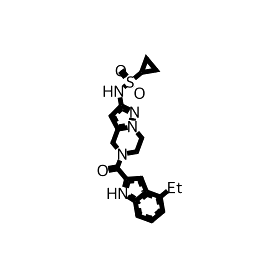 CCc1cccc2[nH]c(C(=O)N3CCn4nc(NS(=O)(=O)C5CC5)cc4C3)cc12